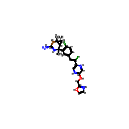 CC1(c2cc(/C=C(\F)c3cnc(OCc4ncco4)cn3)ccc2F)N=C(N)SC2(C(=O)O)CC21